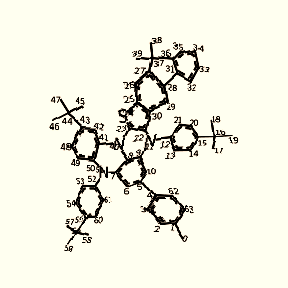 Cc1ccc(-c2cc3c4c(c2)N(c2ccc(C(C)(C)C)cc2)c2c(sc5cc6c(cc25)-c2ccccc2C6(C)C)N4c2cc(C(C)(C)C)ccc2N3c2ccc(C(C)(C)C)cc2)cc1